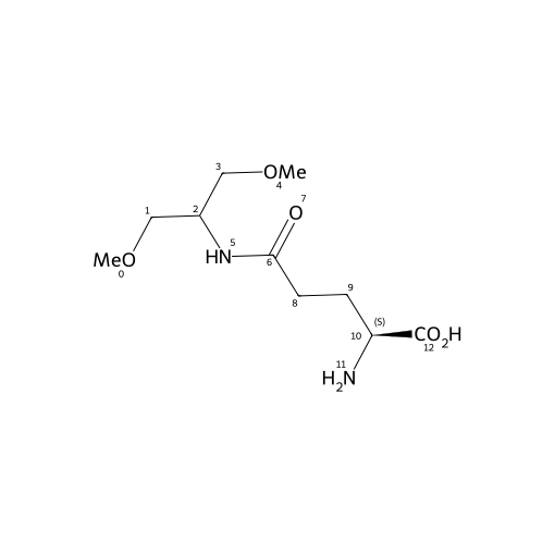 COCC(COC)NC(=O)CC[C@H](N)C(=O)O